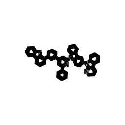 C1=CC2c3cccnc3N(c3ccc4c(c3)c3ccccc3n4-c3cc(-c4cccc(-c5cccc6c5sc5ccccc56)c4)cc(-c4ccccc4)n3)C2C=C1